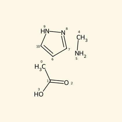 CC(=O)O.CN.c1cn[nH]c1